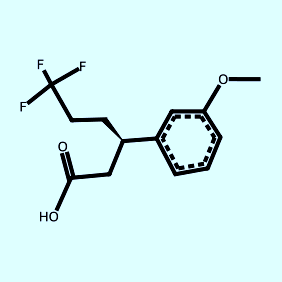 COc1cccc([C@H](CCC(F)(F)F)CC(=O)O)c1